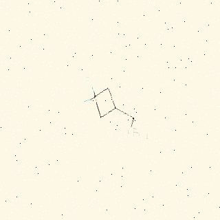 CC(C)(C)CC1CC(F)(F)C1